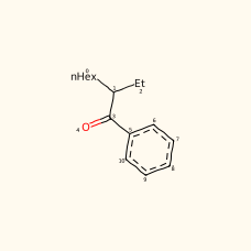 CCCCCCC(CC)C(=O)c1cc[c]cc1